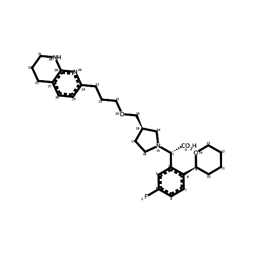 O=C(O)[C@H](c1cc(F)ccc1[C@@H]1CCCCO1)N1CC[C@@H](COCCCc2ccc3c(n2)NCCC3)C1